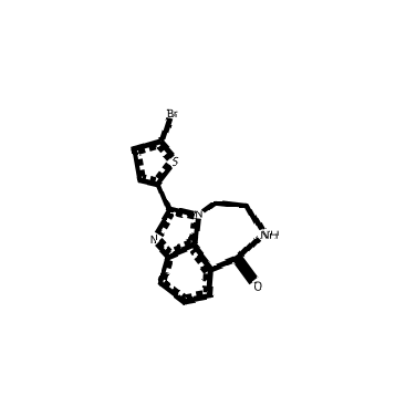 O=C1NCCn2c(-c3ccc(Br)s3)nc3cccc1c32